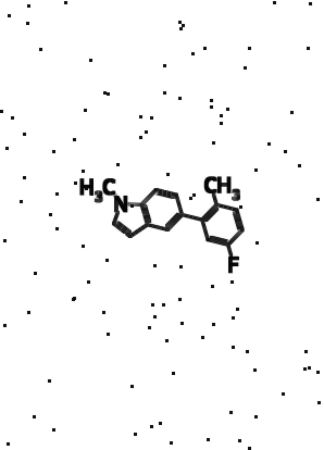 Cc1ccc(F)cc1-c1ccc2c(ccn2C)c1